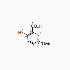 COc1ccc(S)c(C(=O)O)n1